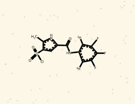 [2H]c1c(F)c(F)c(F)c([2H])c1NC(=O)c1cc(S(=O)(=O)Cl)c(C)[nH]1